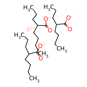 CCCCC(CCC)C(=O)[O-].CCCCC(CCC)C(=O)[O-].CCCCC(CCC)C(=O)[O-].[B+3]